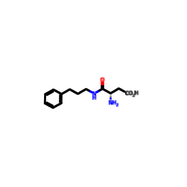 N[C@@H](CC(=O)O)C(=O)NCCCc1ccccc1